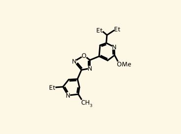 CCc1cc(-c2noc(-c3cc(OC)nc(C(CC)CC)c3)n2)cc(C)n1